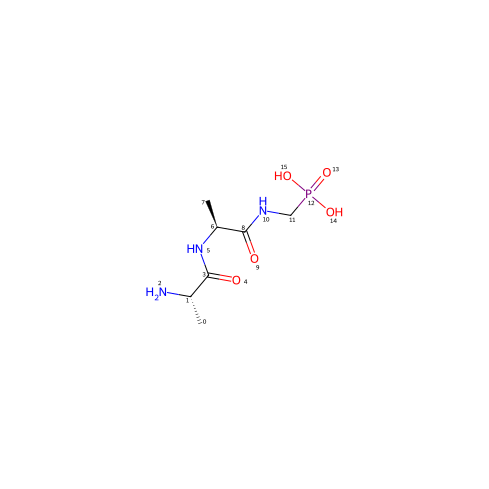 C[C@H](N)C(=O)N[C@@H](C)C(=O)NCP(=O)(O)O